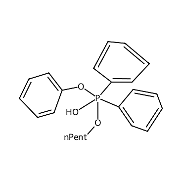 CCCCCOP(O)(Oc1ccccc1)(c1ccccc1)c1ccccc1